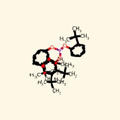 CC(C)(C)c1ccccc1OP(Oc1cccc(C(C)(C)C)c1C(C)(C)C)Oc1cccc(C(C)(C)C)c1C(C)(C)C